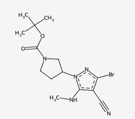 CNc1c(C#N)c(Br)nn1C1CCN(C(=O)OC(C)(C)C)C1